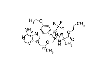 CCCOC(=O)C(C)(C)NP(=O)(CO[C@@H](C)Cn1cnc2c(N)ncnc21)N[C@H](c1cccc(OC)c1)C(F)(F)F